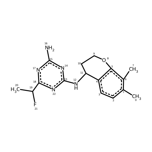 Cc1ccc2c(c1C)OCCC2Nc1nc(N)nc(C(C)F)n1